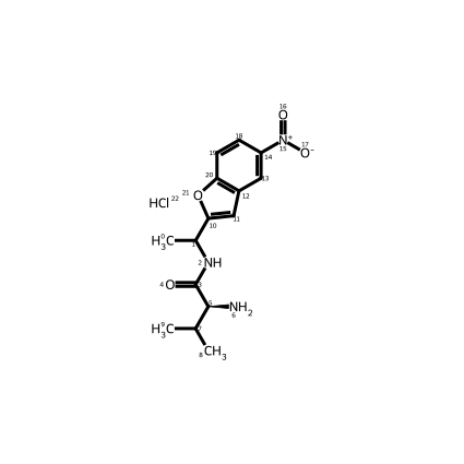 CC(NC(=O)[C@@H](N)C(C)C)c1cc2cc([N+](=O)[O-])ccc2o1.Cl